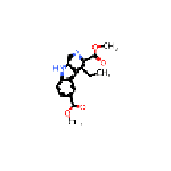 CCc1c(C(=O)OC)ncc2[nH]c3ccc(C(=O)OC)cc3c12